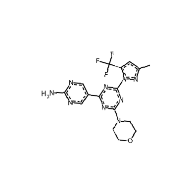 Cc1cc(C(F)(F)F)n(-c2nc(-c3cnc(N)nc3)nc(N3CCOCC3)n2)n1